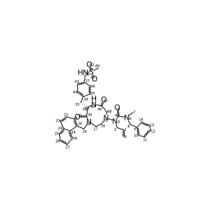 C=CCN(C(=O)N(C)Cc1ccccc1)N1CCN(Cc2cccc3ccccc23)C(=O)[C@H](Cc2ccc(NS(C)(=O)=O)cc2)NC(=O)C1